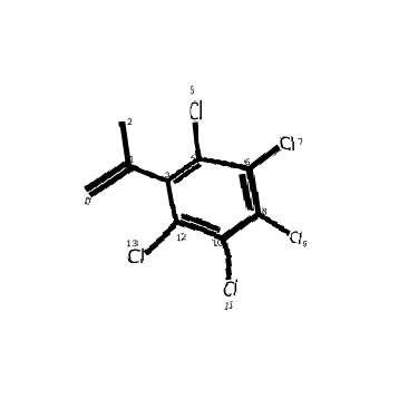 C=C(C)c1c(Cl)c(Cl)c(Cl)c(Cl)c1Cl